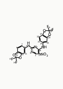 O=[N+]([O-])c1cnc(Nc2ccc3c(c2)OC(F)(F)O3)nc1Nc1ccc2c(c1)OC(F)(F)O2